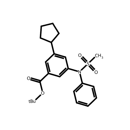 CC(C)(C)OC(=O)c1cc(C2CCCC2)cc(N(c2ccccc2)S(C)(=O)=O)c1